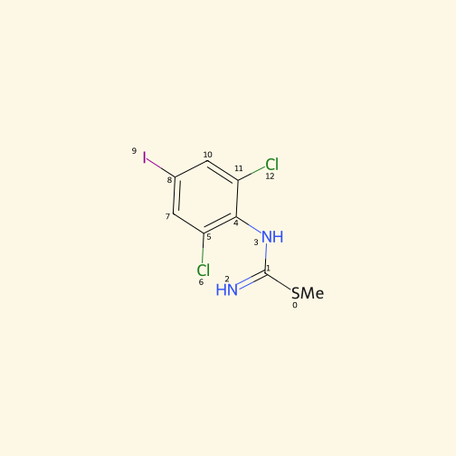 CSC(=N)Nc1c(Cl)cc(I)cc1Cl